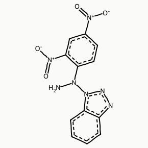 NN(c1ccc([N+](=O)[O-])cc1[N+](=O)[O-])n1nnc2ccccc21